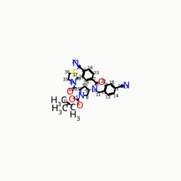 CC(C)(C)OC(=O)N1C[C@@H](N(Cc2ccc(C#N)cc2)C(=O)c2ccc(C#N)cc2)C[C@H]1C(=O)N1CCSC1